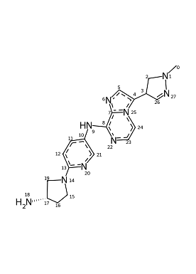 CN1CC(c2cnc3c(Nc4ccc(N5CC[C@H](N)C5)nc4)nccn23)C=N1